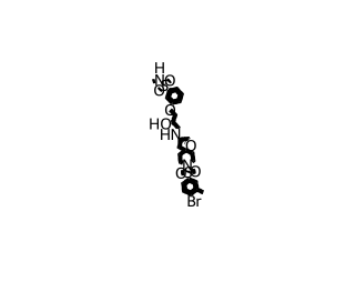 CNS(=O)(=O)c1cccc(OCC(O)CN[C@@H]2COC3(CCN(S(=O)(=O)c4ccc(Br)c(C)c4)CC3)C2)c1